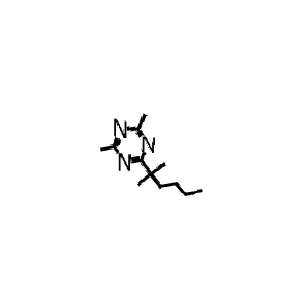 CCCCC(C)(C)c1nc(C)nc(C)n1